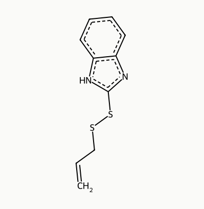 C=CCSSc1nc2ccccc2[nH]1